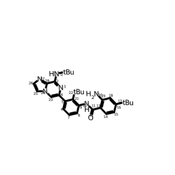 CC(C)(C)Nc1nc(-c2cccc(NC(=O)c3ccc(C(C)(C)C)cc3N)c2C(C)(C)C)cn2ccnc12